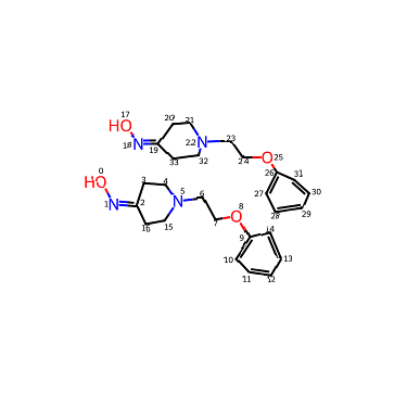 ON=C1CCN(CCOc2ccccc2)CC1.ON=C1CCN(CCOc2ccccc2)CC1